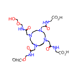 O=COCNC(=O)CN1CCN(CC(=O)NCOCO)CCN(CC(=O)NCC(=O)O)CCN(CC(=O)NCC(=O)O)CC1